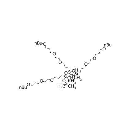 CCCCOCCCOCCOCCC[SiH](C)O[Si](C)(CCCOCCOCCCOCCCC)O[Si](C)(CCCOCCOCCCOCCCC)O[Si](C)(C)C